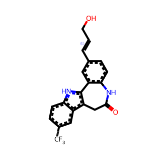 O=C1Cc2c([nH]c3ccc(C(F)(F)F)cc23)-c2cc(/C=C/CO)ccc2N1